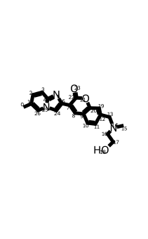 Cc1ccc2nc(-c3cc4ccc(CN(C)CCO)cc4oc3=O)cn2c1